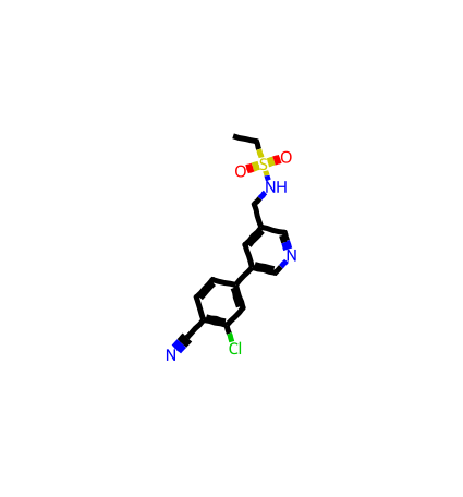 CCS(=O)(=O)NCc1cncc(-c2ccc(C#N)c(Cl)c2)c1